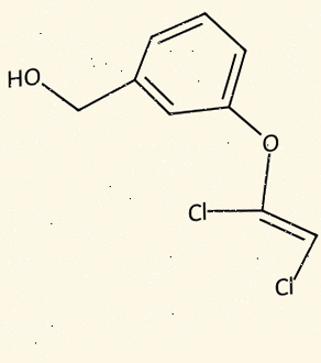 OCc1cccc(OC(Cl)=CCl)c1